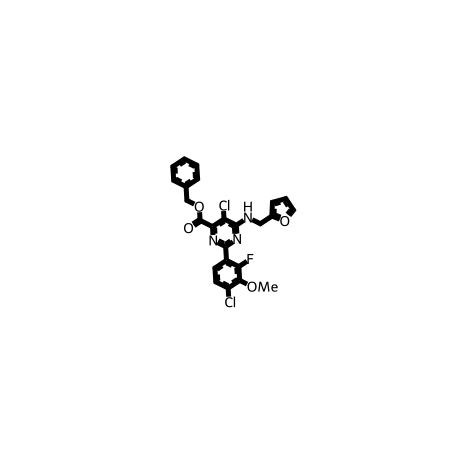 COc1c(Cl)ccc(-c2nc(NCc3ccco3)c(Cl)c(C(=O)OCc3ccccc3)n2)c1F